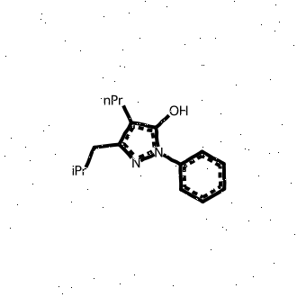 CCCc1c(CC(C)C)nn(-c2ccccc2)c1O